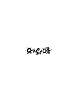 CS(=O)(=O)N1CCN(c2ncc(OCc3ccccc3)cn2)CC1